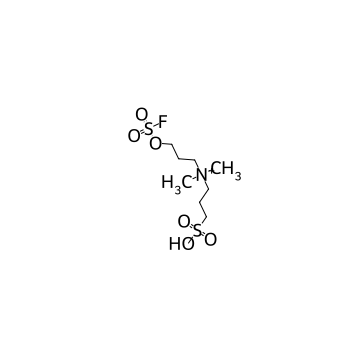 C[N+](C)(CCCOS(=O)(=O)F)CCCS(=O)(=O)O